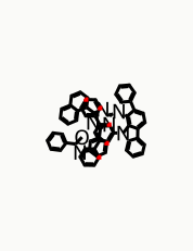 c1ccc(-c2cc(-c3ccccc3)cc(-n3c4ccccc4c4ccc5c6ccccc6n(-c6nc(-c7cccc8ccccc78)nc(-c7cccc8nc(-c9ccccc9)oc78)n6)c5c43)c2)cc1